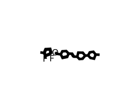 Cc1ccc(OCC2C=CC(/C=C/C3CCC(C4CCC(C)CC4)CC3)CC2)c(F)c1F